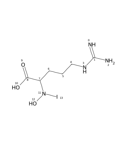 N=C(N)NCCCC(C(=O)O)N(O)I